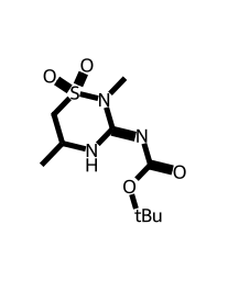 CC1CS(=O)(=O)N(C)C(=NC(=O)OC(C)(C)C)N1